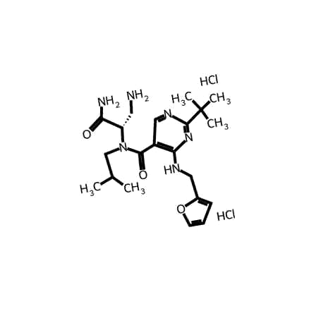 CC(C)CN(C(=O)c1cnc(C(C)(C)C)nc1NCc1ccco1)[C@@H](CN)C(N)=O.Cl.Cl